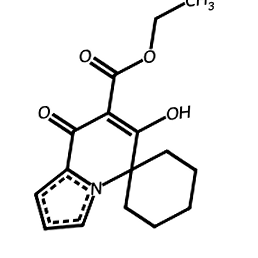 CCOC(=O)C1=C(O)C2(CCCCC2)n2cccc2C1=O